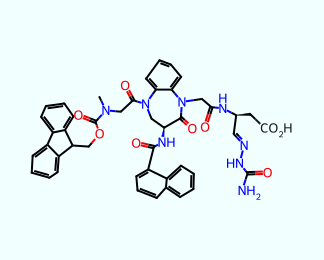 CN(CC(=O)N1C[C@H](NC(=O)c2cccc3ccccc23)C(=O)N(CC(=O)N[C@H](/C=N/NC(N)=O)CC(=O)O)c2ccccc21)C(=O)OCC1c2ccccc2-c2ccccc21